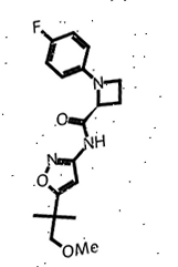 COCC(C)(C)c1cc(NC(=O)[C@@H]2CCN2c2ccc(F)cc2)no1